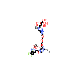 CCN(Cc1cn(CCOCCOCCOC(=O)c2nc(C(F)(F)F)n3c2CN(C(=O)C[C@@H](Cc2cc(F)c(F)cc2F)NC(=O)OC(C)(C)C)CC3)nn1)C[C@H](O)[C@@H](O)[C@H](O)[C@H](O)CO